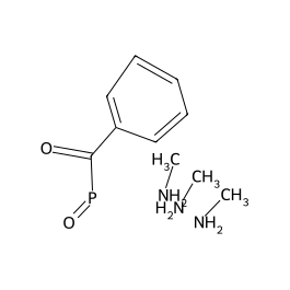 CN.CN.CN.O=PC(=O)c1ccccc1